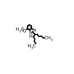 CCCCCC(CCCCC)c1nc2cccc(OC)c2[nH]1